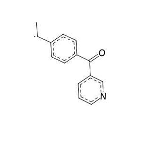 C[CH]c1ccc(C(=O)c2cccnc2)cc1